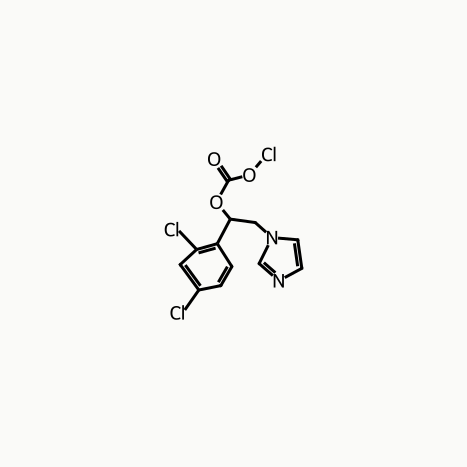 O=C(OCl)OC(Cn1ccnc1)c1ccc(Cl)cc1Cl